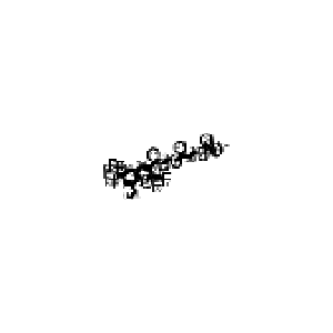 CCc1cc(S(F)(F)(F)(F)F)cc2c1OC(C(F)(F)F)C(C(=O)OCOC(=O)CCO[N+](=O)[O-])=C2